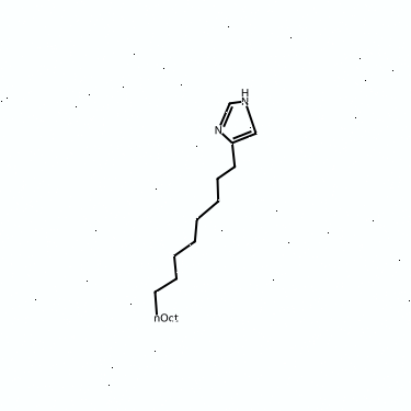 CCCCCCCCCCCCCCCCc1c[nH]cn1